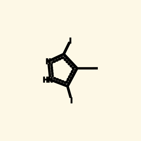 Cc1c(I)n[nH]c1I